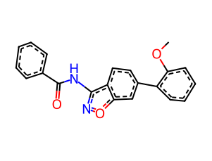 COc1ccccc1-c1ccc2c(NC(=O)c3ccccc3)noc2c1